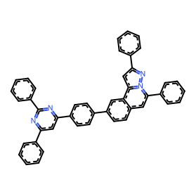 c1ccc(-c2cc(-c3ccc(-c4ccc5cc(-c6ccccc6)n6nc(-c7ccccc7)cc6c5c4)cc3)nc(-c3ccccc3)n2)cc1